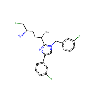 CC(C)(C)[C](CC[C@@H](N)CF)c1nc(-c2cccc(F)c2)cn1Cc1cccc(F)c1